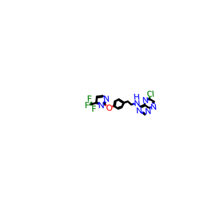 FC(F)(F)c1ccnc(Oc2ccc(CCNc3ncnc4ncc(Cl)nc34)cc2)n1